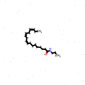 [CH2]CCNC(=O)CCCCCCC/C=C\C/C=C\C/C=C\CC